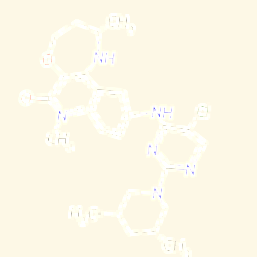 C[C@@H]1C[C@H](C)CN(c2ncc(Cl)c(Nc3ccc4c(c3)c3c(c(=O)n4C)OCC[C@H](C)N3)n2)C1